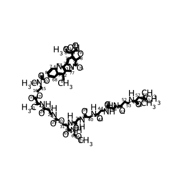 CCc1c2c(nc3ccc(OC(=O)N(C)CCOC(=O)C(C)NC(=O)CCNC(=O)OCC(NC(=O)CNC(=O)CNC(=O)CNC(=O)CNC(=O)CCNC(=O)CC(C)(C)C)C(=O)NCOC)cc13)-c1cc3c(c(=O)n1C2)COC(=O)[C@@]3(O)CC